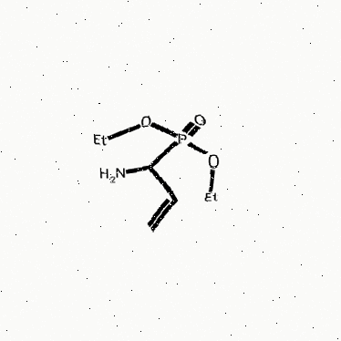 C=CC(N)P(=O)(OCC)OCC